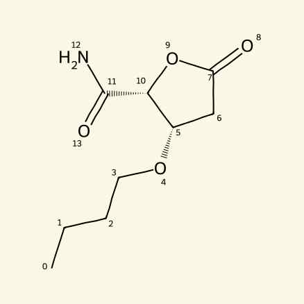 CCCCO[C@H]1CC(=O)O[C@H]1C(N)=O